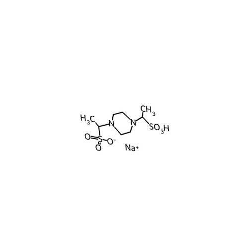 CC(N1CCN(C(C)S(=O)(=O)O)CC1)S(=O)(=O)[O-].[Na+]